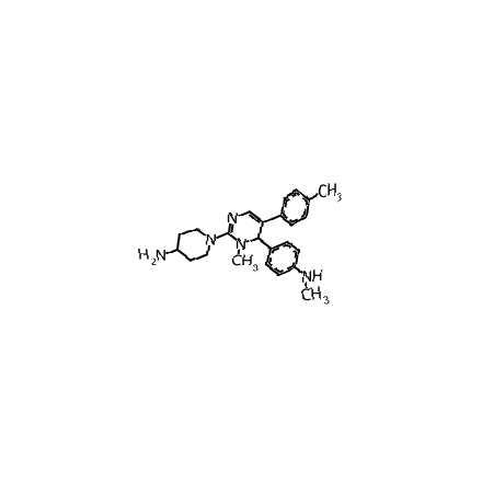 CNc1ccc(C2C(c3ccc(C)cc3)=CN=C(N3CCC(N)CC3)N2C)cc1